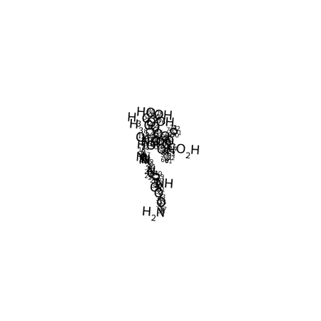 CC1O[C@@H](OC2[C@H](C)CC(C(=O)NCCCc3cn(CCCn4ccc5cc(NC(=O)COCCOCCN)ccc54)nn3)C[C@H]2O[C@@H]2O[C@@H](CO)[C@H](O)C(O[C@@H](CC3CCCCC3)C(=O)O)C2OC(=O)c2ccccc2)[C@@H](O)C(O)[C@@H]1O